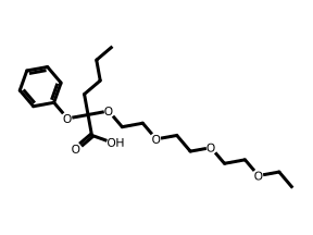 CCCCC(OCCOCCOCCOCC)(Oc1ccccc1)C(=O)O